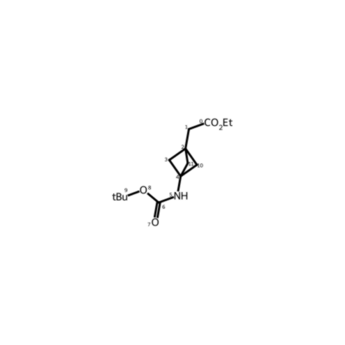 CCOC(=O)CC12CC(NC(=O)OC(C)(C)C)(C1)C2